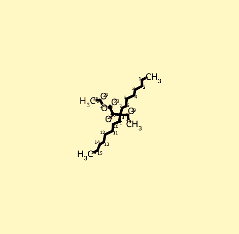 CCCCCCCCC(CCCCCCCC)(C(C)=O)C(=O)C(=O)OC(C)=O